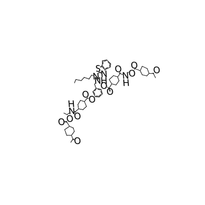 CCCCCCN(NCc1cc(OC(=O)C2CCC(C(=O)NC(C)OC(=O)C3CCC(C(C)=O)CC3)CC2)ccc1OC(=O)C1CCC(C(=O)NCOC(=O)C2CCC(C(C)=O)CC2)CC1)c1nc2ccccc2s1